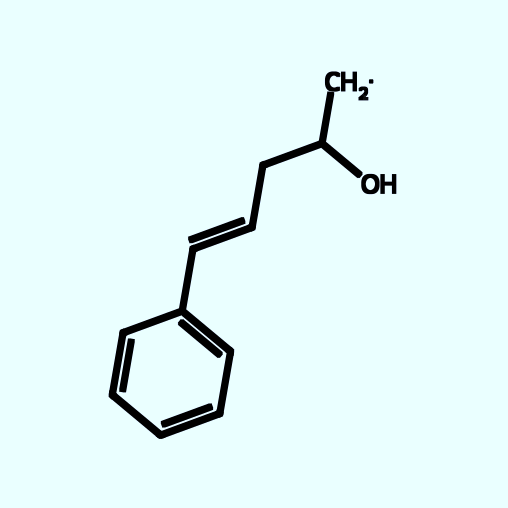 [CH2]C(O)CC=Cc1ccccc1